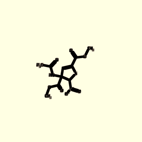 COC(=O)C1=CC(NC(C)=O)(C(=O)OC)C([N+](=O)[O-])S1